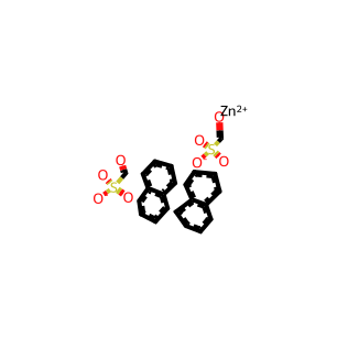 O=CS(=O)(=O)[O-].O=CS(=O)(=O)[O-].[Zn+2].c1ccc2ccccc2c1.c1ccc2ccccc2c1